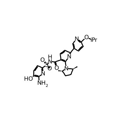 CC(C)Oc1ccc(-c2ccc(C(=O)NS(=O)(=O)c3ccc(O)c(N)n3)c(N3[C@H](C)CC[C@@H]3C)n2)cn1